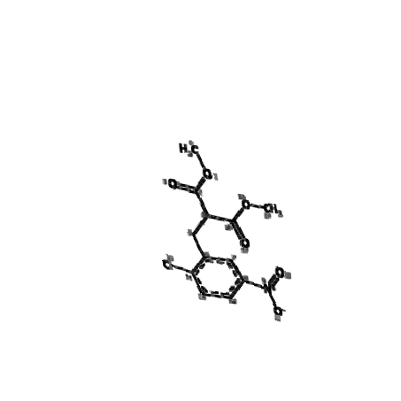 COC(=O)C(Cc1cc([N+](=O)[O-])ccc1Cl)C(=O)OC